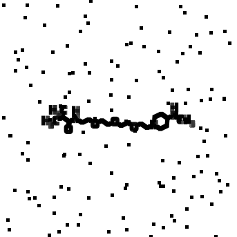 CNC1CCN(CCOCCOCCOCCNC(=O)C(C)C)CC1